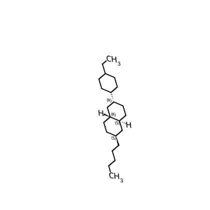 CCCCC[C@H]1CC[C@@H]2C[C@H](C3CCC(CC)CC3)CC[C@H]2C1